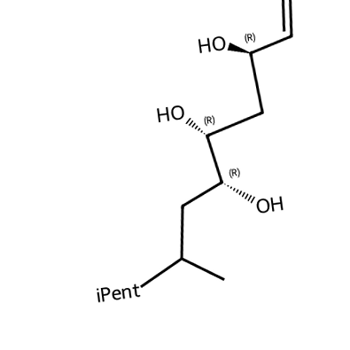 C=C[C@H](O)C[C@@H](O)[C@H](O)CC(C)C(C)CCC